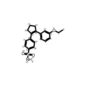 CCOc1cccc(C2=C(c3ccc(S(N)(=O)=O)cc3)CCC2)c1